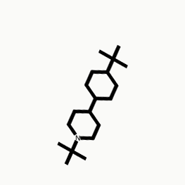 CC(C)(C)C1CCC(C2CCN(C(C)(C)C)CC2)CC1